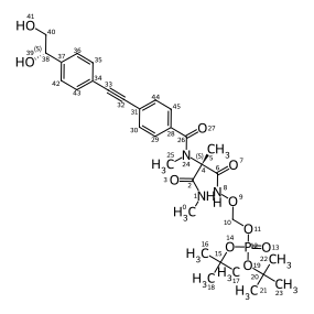 CNC(=O)[C@@](C)(C(=O)NOCOP(=O)(OC(C)(C)C)OC(C)(C)C)N(C)C(=O)c1ccc(C#Cc2ccc([C@H](O)CO)cc2)cc1